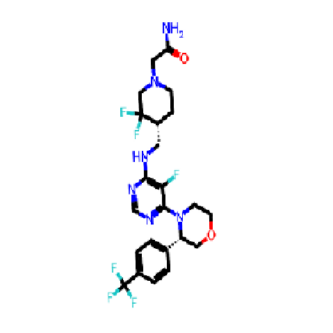 NC(=O)CN1CC[C@H](CNc2ncnc(N3CCOC[C@@H]3c3ccc(C(F)(F)F)cc3)c2F)C(F)(F)C1